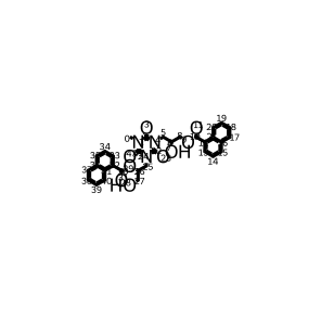 Cn1c(=O)n(CC(O)COC(=O)c2cccc3ccccc23)c(=O)n(CC(CO)OC(=O)c2cccc3ccccc23)c1=O